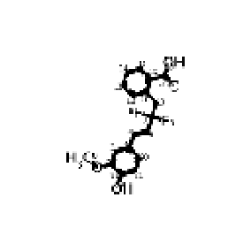 COc1cc(/C=C/C(F)(F)Cc2ccccc2C(=O)O)ccc1O